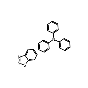 c1ccc(N(c2ccccc2)c2ccccc2)cc1.c1ccc2snnc2c1